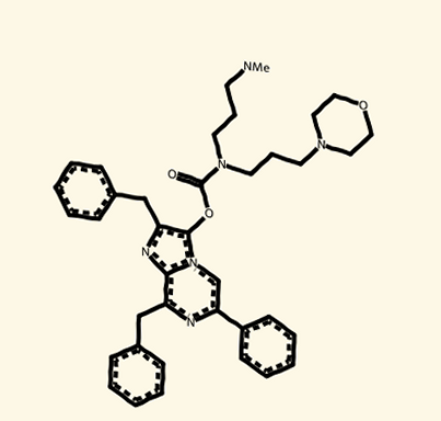 CNCCCN(CCCN1CCOCC1)C(=O)Oc1c(Cc2ccccc2)nc2c(Cc3ccccc3)nc(-c3ccccc3)cn12